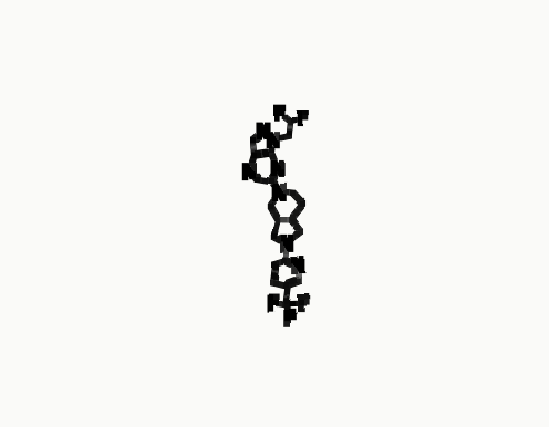 FC(F)Cn1ncc2ncc(N3CCC4CN(c5ccc(C(F)(F)F)cn5)CC4C3)nc21